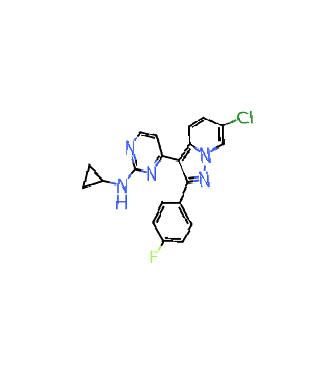 Fc1ccc(-c2nn3cc(Cl)ccc3c2-c2ccnc(NC3CC3)n2)cc1